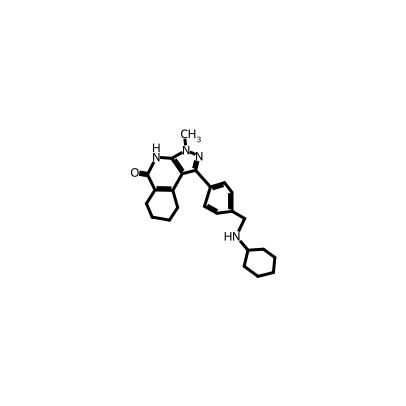 Cn1nc(-c2ccc(CNC3CCCCC3)cc2)c2c3c(c(=O)[nH]c21)CCCC3